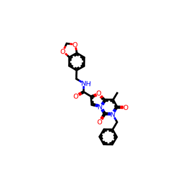 Cc1c(=O)n(Cc2ccccc2)c(=O)n2cc(C(=O)NCc3ccc4c(c3)OCO4)oc12